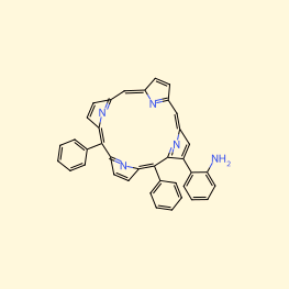 Nc1ccccc1C1=CC2=CC3=NC(=CC4=NC(=C(c5ccccc5)C5=NC(=C(c6ccccc6)C1=N2)C=C5)C=C4)C=C3